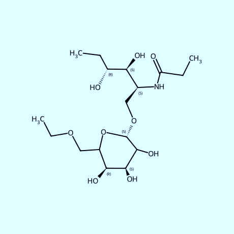 CCOCC1O[C@H](OC[C@H](NC(=O)CC)[C@H](O)[C@H](O)CC)C(O)[C@@H](O)[C@H]1O